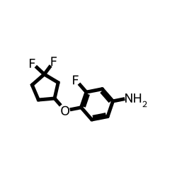 Nc1ccc(OC2CCC(F)(F)C2)c(F)c1